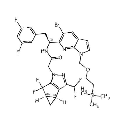 C[Si](C)(C)CCOCn1ccc2cc(Br)c([C@H](Cc3cc(F)cc(F)c3)NC(=O)Cn3nc(C(F)F)c4c3C(F)(F)[C@@H]3C[C@H]43)nc21